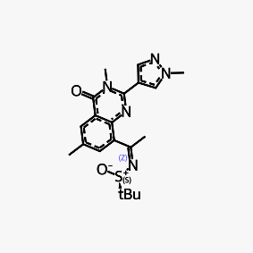 C/C(=N/[S@+]([O-])C(C)(C)C)c1cc(C)cc2c(=O)n(C)c(-c3cnn(C)c3)nc12